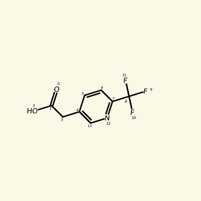 O=C(O)Cc1ccc(C(F)(F)F)nc1